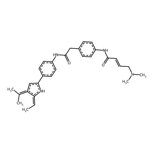 C/C=c1/[nH]c(-c2ccc(NC(=O)Cc3ccc(NC(=O)/C=C/CN(C)C)cc3)cc2)cc1=C(C)C